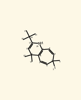 CC1(I)C=CC2=C(C=C1)C(C)(C)C=C(C(C)(C)C)N2